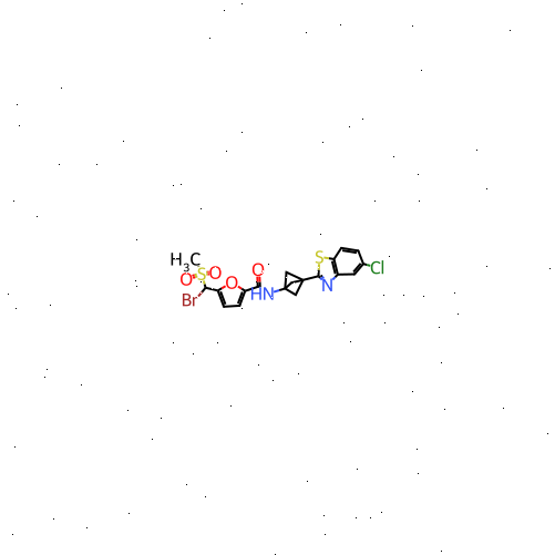 CS(=O)(=O)C(Br)c1ccc(C(=O)NC23CC(c4nc5cc(Cl)ccc5s4)(C2)C3)o1